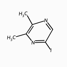 Cc1ncc(I)nc1C